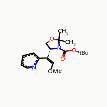 COC=C(c1ccccn1)[C@@H]1COC(C)(C)N1C(=O)OC(C)(C)C